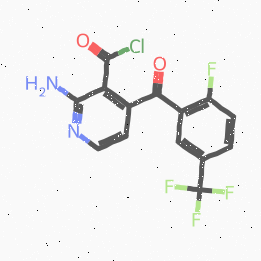 Nc1nccc(C(=O)c2cc(C(F)(F)F)ccc2F)c1C(=O)Cl